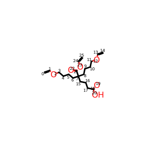 C=COCCCCC(CCCCOC=C)(CCCC(=O)O)C(=O)OC=C